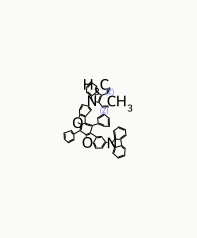 C/C=C\c1c(/C=C\C)n(-c2ccc3oc4c(-c5ccccc5)c5oc6ccc(-n7c8ccccc8c8ccccc87)cc6c5c(-c5ccccc5)c4c3c2)c2ccccc12